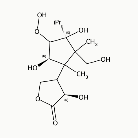 CC(C)[C@@]1(O)C(OO)[C@H](O)C(C)(C2COC(=O)[C@@H]2O)C1(C)CO